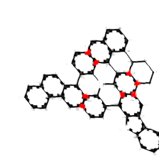 c1ccc(N(c2ccccc2-c2cccc3c2sc2ccccc23)c2ccccc2-c2cccc3cccc(C4CCCCC4)c23)c(-c2cccc3c2ccc2ccccc23)c1